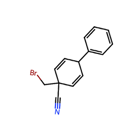 N#CC1(CBr)C=CC(c2ccccc2)C=C1